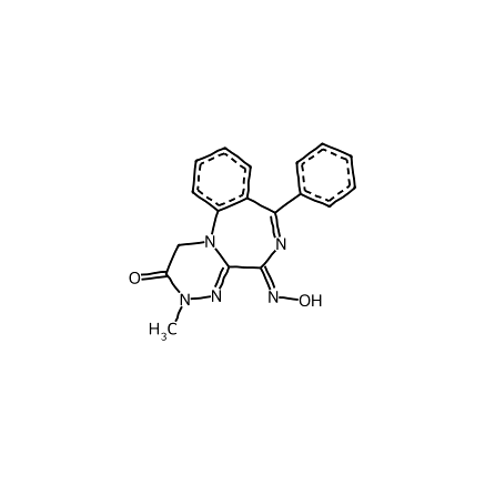 CN1N=C2C(=NO)N=C(c3ccccc3)c3ccccc3N2CC1=O